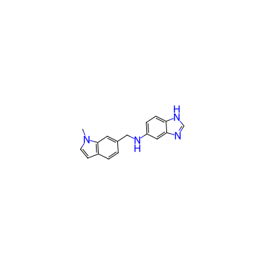 Cn1ccc2ccc(CNc3ccc4[nH]cnc4c3)cc21